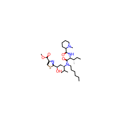 CCCCCCN(C(=O)[C@@H](NC(=O)C1CCCCN1C)[C@@H](C)CC)[C@H](C[C@@H](O)c1nc(C(=O)OC)cs1)C(C)C